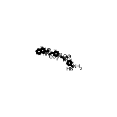 N=C(N)c1ccc(N2CC(COc3ccc(CC(NC(=O)c4ccc5ccccc5c4)C(=O)O)cc3)OC2=O)cc1